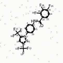 O=C(Nc1ccc(-n2nc(C(F)(F)F)cc2C(F)(F)F)cc1)c1ccc(F)c(F)c1F